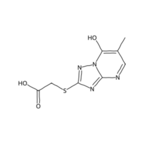 Cc1cnc2nc(SCC(=O)O)nn2c1O